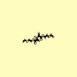 CCOCCOC(=O)[CH](C)[Sn][CH](C)C(=O)OCCOCC